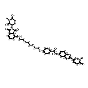 CN1C(=O)CCC(N2C(=O)c3cccc(NCCOCCOCCOc4ccc(C(=O)Nc5ccc6nc(-c7ccc(=O)n(C)n7)oc6c5)nc4)c3C2=O)C1=O